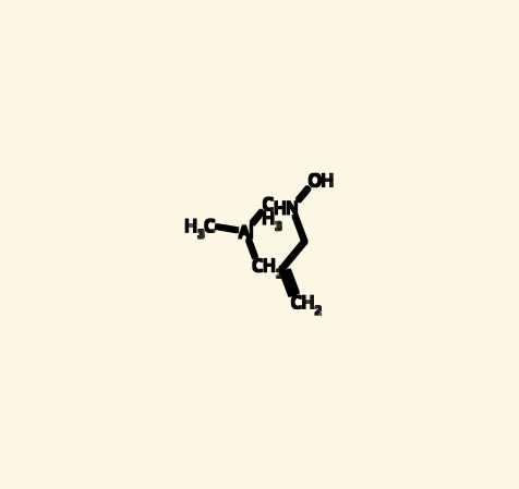 C=CCNO.[CH3][Al]([CH3])[CH3]